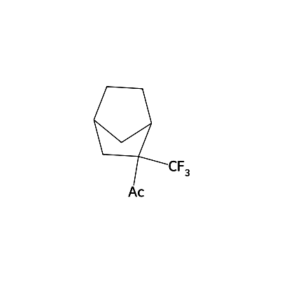 CC(=O)C1(C(F)(F)F)CC2CCC1C2